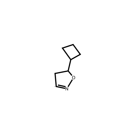 [C]1=NOC(C2CCC2)C1